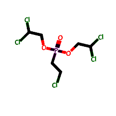 O=P(CCCl)(OCC(Cl)Cl)OCC(Cl)Cl